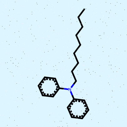 [CH2]CCCCCCCCN(c1ccccc1)c1ccccc1